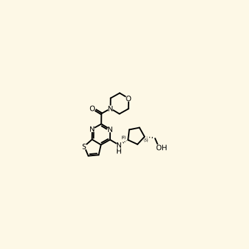 O=C(c1nc(N[C@@H]2CC[C@H](CO)C2)c2ccsc2n1)N1CCOCC1